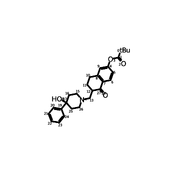 CC(C)(C)C(=O)Oc1ccc2c(c1)CCC(CN1CCC(O)(c3ccccc3)CC1)C2=O